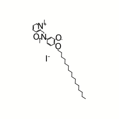 CCCCCCCCCCCCCCCCOc1ccc(N(Cc2cccc[n+]2CC)C(C)=O)cc1OC.[I-]